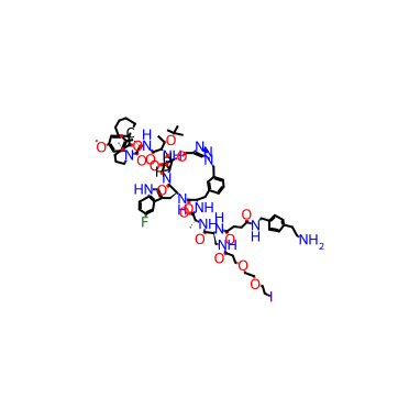 COc1ccc(C[C@H](NC(=O)[C@@H](NC(=O)[C@@H]2[C@@H]3CCN2C(=O)[C@H](Cc2c[nH]c4ccc(F)cc24)NC(=O)[C@@H](NC(=O)[C@@H](C)NC(=O)[C@H](CNC(=O)CCOCCOCCI)NC(=O)CCC(=O)NCc2ccc(CCN)cc2)Cc2cccc(c2)Cn2cc(nn2)CO3)C(C)OC(C)(C)C)C(=O)N2CCC[C@@]2(C)C(=O)C2CCCCCC2)cc1